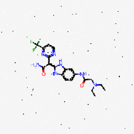 CCN(CC)CC(=O)Nc1ccc2c(c1)N/C(=C(/C(N)=O)c1nccc(C(F)(F)F)n1)N2